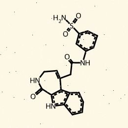 NS(=O)(=O)c1cccc(NC(=O)CC2=CCNC(=O)c3[nH]c4ccccc4c32)c1